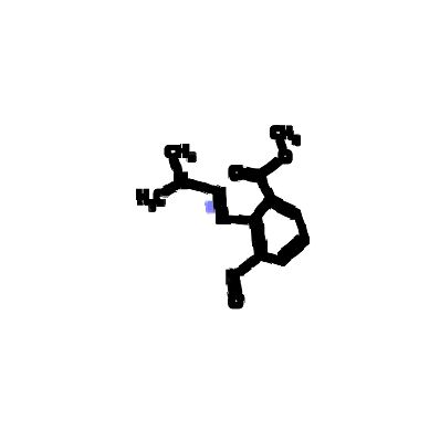 COC(=O)c1cccc(N=O)c1/C=C/N(C)C